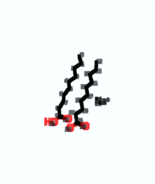 CCCCCCCCCC(=O)O.CCCCCCCCCC(=O)[O-].[Na+]